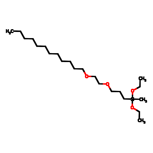 CCCCCCCCCCCCOCCOCCC[Si](C)(OCC)OCC